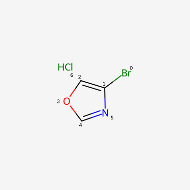 Brc1cocn1.Cl